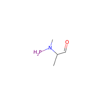 CC(C=O)N(C)P